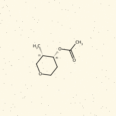 CC(=O)O[C@@H]1CCOC[C@@H]1C